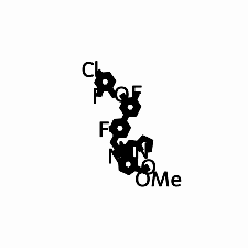 COC(=O)c1ccc2nc(Cc3ccc(-c4ccc(F)c(OCc5ccc(Cl)cc5F)c4)cc3F)n(CC3CCCN3)c2c1